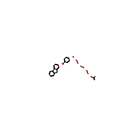 C=C(C)C(=O)OCCOCCOCCOC(=O)Oc1ccc(C(=O)Oc2ccc3c(c2)Cc2cc(OC(C)=O)ccc2-3)cc1